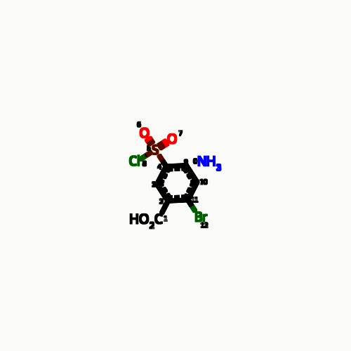 N.O=C(O)c1cc(S(=O)(=O)Cl)ccc1Br